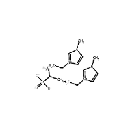 CC(C)P(=O)([O-])[O-].CC[n+]1ccn(C)c1.CC[n+]1ccn(C)c1